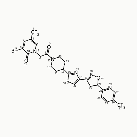 O=C(Cn1cc(C(F)(F)F)cc(Br)c1=O)N1CCC(c2nc(C3=NOC(c4ccc(C(F)(F)F)cn4)C3)cs2)CC1